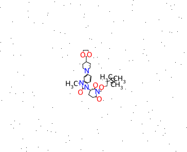 Cn1c(=O)n(C2CCC(=O)N(COCC[Si](C)(C)C)C2=O)c2ccc(N3CCC(C4OCCO4)CC3)cc21